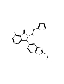 O=C(O)Nc1nc2cc(C3c4cccc(O)c4C(=O)N3CCc3cccs3)ccc2[nH]1